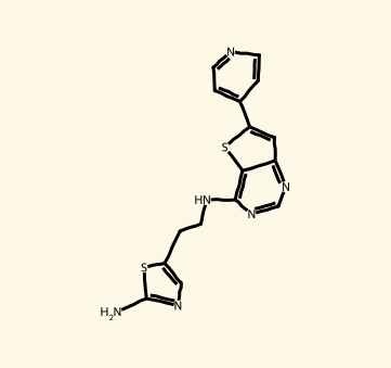 Nc1ncc(CCNc2ncnc3cc(-c4ccncc4)sc23)s1